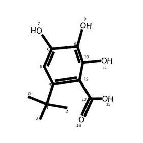 CC(C)(C)c1cc(O)c(O)c(O)c1C(=O)O